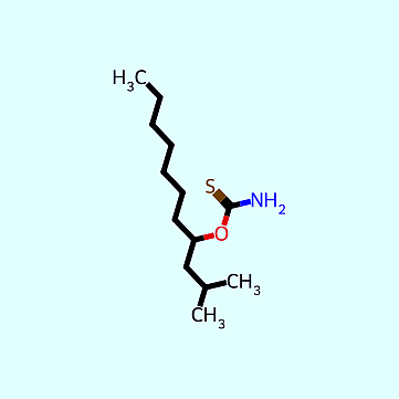 CCCCCCCC(CC(C)C)OC(N)=S